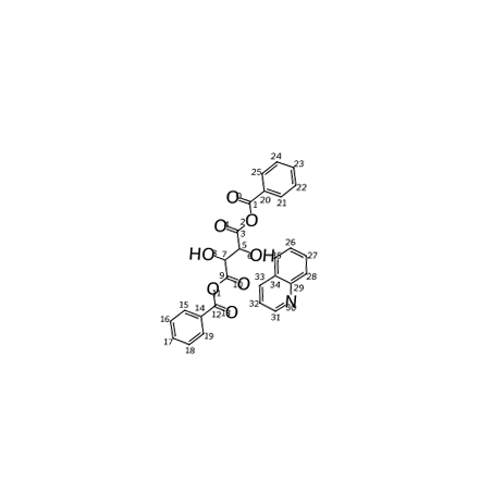 O=C(OC(=O)C(O)C(O)C(=O)OC(=O)c1ccccc1)c1ccccc1.c1ccc2ncccc2c1